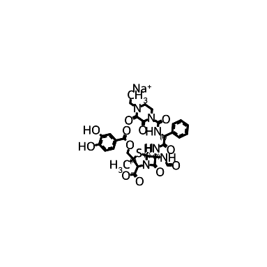 CCN1CCN(C(=O)N[C@@H](C(=O)N[C@]2(NC=O)C(=O)N3C(C(=O)[O-])[C@](C)(COC(=O)c4ccc(O)c(O)c4)S[C@H]32)c2ccccc2)C(=O)C1=O.[Na+]